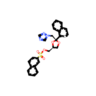 O=S(=O)(OC[C@@H]1CO[C@@](Cn2cncn2)(c2cccc3ccccc23)O1)c1ccc2ccccc2c1